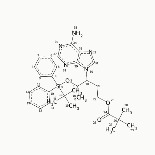 CC(O[Si](c1ccccc1)(c1ccccc1)C(C)(C)C)C(CCOC(=O)C(C)(C)C)n1cnc2c(N)ncnc21